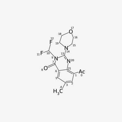 CC(=O)c1cc(C)cc2c(=O)n(C(F)F)c(N3CCOCC3)nc12